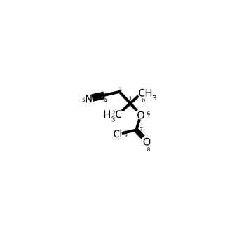 CC(C)(CC#N)OC(=O)Cl